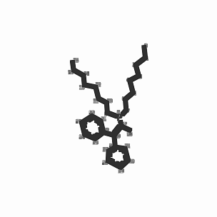 CCCCCCCCP(CCCCCCCC)C(C)=C(c1ccccc1)c1ccccc1